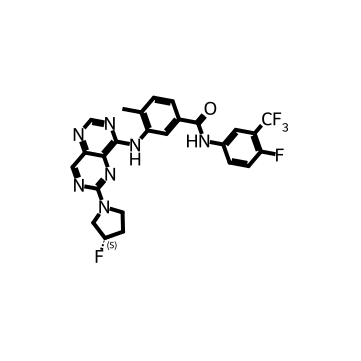 Cc1ccc(C(=O)Nc2ccc(F)c(C(F)(F)F)c2)cc1Nc1ncnc2cnc(N3CC[C@H](F)C3)nc12